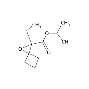 CCC1(C(=O)OC(C)C)OC12CCC2